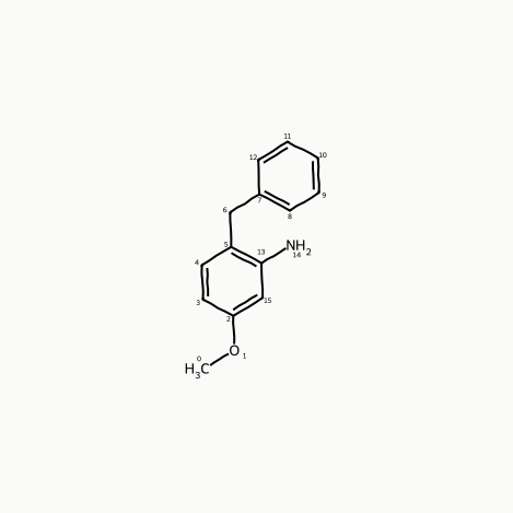 COc1ccc(Cc2ccccc2)c(N)c1